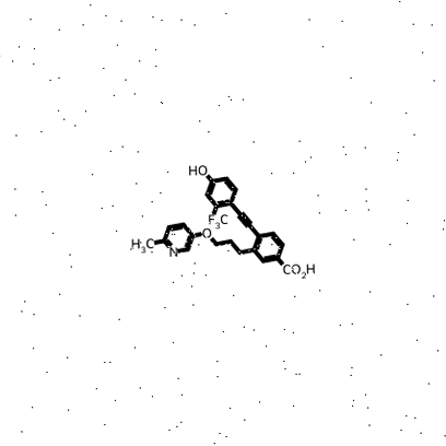 Cc1ccc(OCCCc2cc(C(=O)O)ccc2C#Cc2ccc(O)cc2C(F)(F)F)cn1